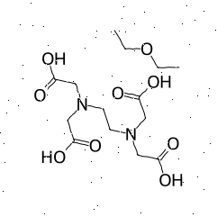 CCOCC.O=C(O)CN(CCN(CC(=O)O)CC(=O)O)CC(=O)O